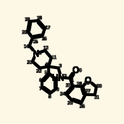 O=C(NCC1(c2ccccc2)CCN(Cc2ccccc2)CC1)c1cccc2c1OCC2